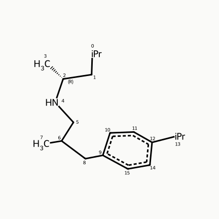 CC(C)C[C@@H](C)NCC(C)Cc1ccc(C(C)C)cc1